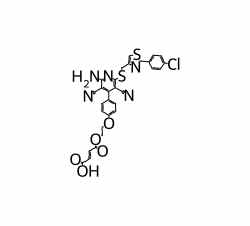 N#Cc1c(N)nc(SCc2csc(-c3ccc(Cl)cc3)n2)c(C#N)c1-c1ccc(OCCOC(=O)C=CC(=O)O)cc1